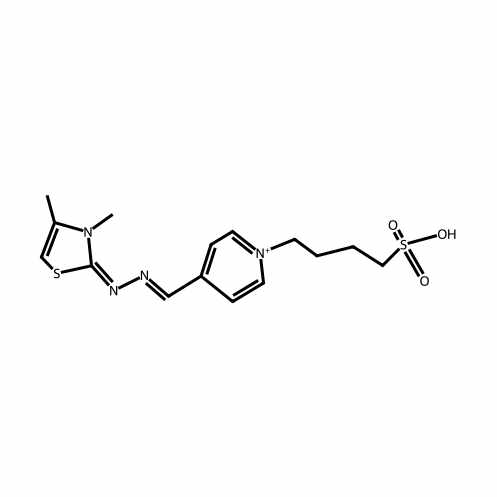 Cc1csc(=NN=Cc2cc[n+](CCCCS(=O)(=O)O)cc2)n1C